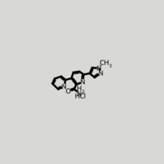 Cl.Cn1cc(-c2ccc(-c3ccccn3)c(C(N)=O)n2)cn1